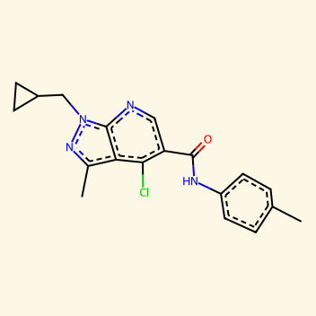 Cc1ccc(NC(=O)c2cnc3c(c(C)nn3CC3CC3)c2Cl)cc1